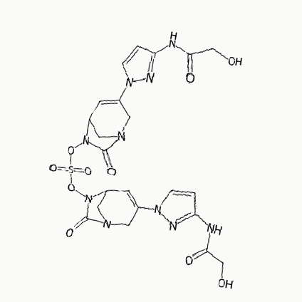 O=C(CO)Nc1ccn(C2=CC3CN(C2)C(=O)N3OS(=O)(=O)ON2C(=O)N3CC(n4ccc(NC(=O)CO)n4)=CC2C3)n1